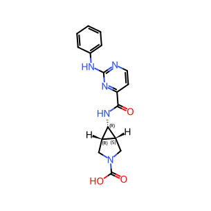 O=C(N[C@@H]1[C@@H]2CN(C(=O)O)C[C@@H]21)c1ccnc(Nc2ccccc2)n1